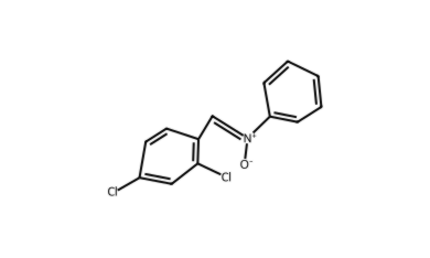 [O-][N+](=Cc1ccc(Cl)cc1Cl)c1ccccc1